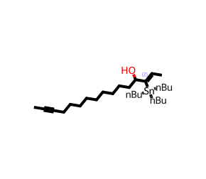 CC#CCCCCCCCCCC(O)/[C](=C/C)[Sn]([CH2]CCC)([CH2]CCC)[CH2]CCC